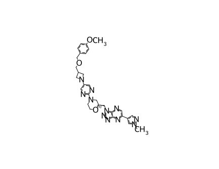 COc1ccc(COCC2CN(c3cnc(N4CCO[C@H](Cn5nnc6nc(-c7cnn(C)c7)cnc65)C4)nc3)C2)cc1